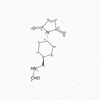 O=CNC[C@H]1CC[C@H](N2C(=O)C=CC2=O)CC1